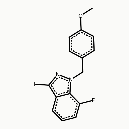 COc1ccc(Cn2nc(I)c3cccc(F)c32)cc1